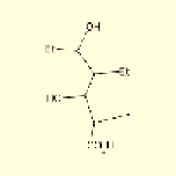 CCC(O)C(CC)C(O)C(C)C(=O)O